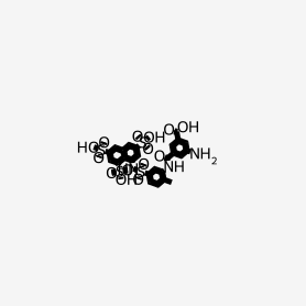 Cc1ccc(S(=O)(=O)Nc2cc(S(=O)(=O)O)cc3cc(S(=O)(=O)O)cc(S(=O)(=O)O)c23)cc1NC(=O)c1cc(N)cc(C(=O)O)c1